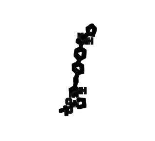 CC(C)(C)OC(=O)N1CCC[C@H]1c1ncc(C#Cc2ccc(-c3ccc(-c4cnc(C5CCCC5)[nH]4)cc3)cc2)[nH]1